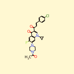 CC(=O)N1CCN(c2cc3c(cc2F)c(=O)c(C(=O)C=Cc2ccc(Cl)cc2)cn3C2CC2)CC1